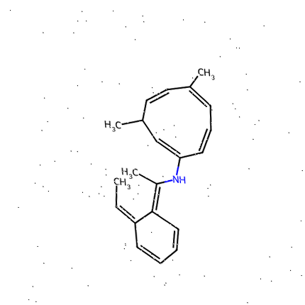 C/C=c1/cccc/c1=C(/C)NC1=C\C(C)\C=C/C(C)=C\C=C/1